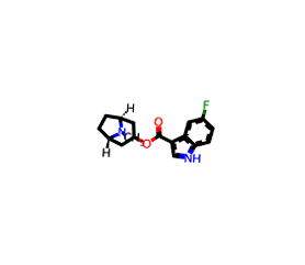 CN1[C@H]2CC[C@H]1CC(OC(=O)c1c[nH]c3ccc(F)cc13)C2